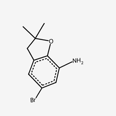 CC1(C)Cc2cc(Br)cc(N)c2O1